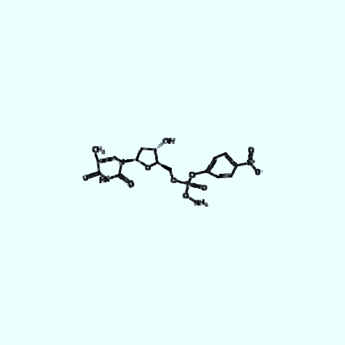 Cc1cn([C@H]2C[C@H](O)[C@@H](COP(=O)(ON)Oc3ccc([N+](=O)[O-])cc3)O2)c(=O)[nH]c1=O